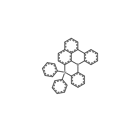 c1ccc([Si]2(c3ccccc3)c3ccccc3B3c4ccccc4-c4cccc5ccc2c3c45)cc1